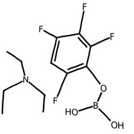 CCN(CC)CC.OB(O)Oc1c(F)cc(F)c(F)c1F